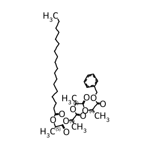 CCCCCCCCCCCCCCCCCC(=O)O[C@@H](C)C(=O)O[C@H](C)C(=O)O[C@H](C)C(=O)O[C@H](C)C(=O)OCc1ccccc1